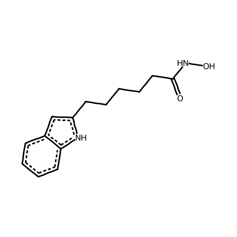 O=C(CCCCCc1cc2ccccc2[nH]1)NO